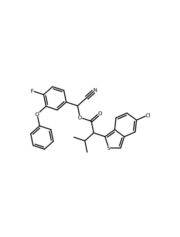 CC(C)C(C(=O)OC(C#N)c1ccc(F)c(Oc2ccccc2)c1)c1scc2cc(Cl)ccc12